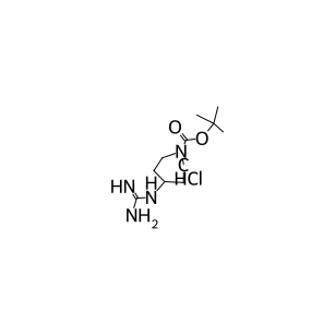 CC(C)(C)OC(=O)N1CCC(NC(=N)N)CC1.Cl